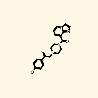 O=C(CN1CCN(C(=O)c2cccn3ccnc23)CC1)c1ccc(O)cc1